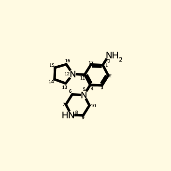 Nc1ccc(N2CCNCC2)c(N2CCCC2)c1